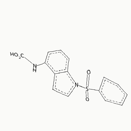 O=C(O)Nc1cccc2c1ccn2S(=O)(=O)c1ccccc1